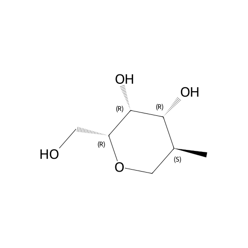 C[C@H]1CO[C@H](CO)[C@H](O)[C@@H]1O